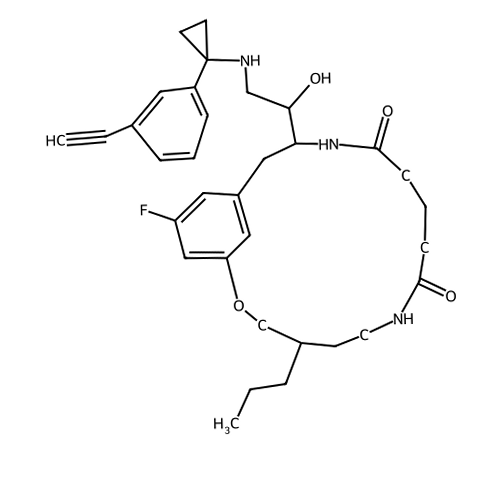 C#Cc1cccc(C2(NCC(O)C3Cc4cc(F)cc(c4)OCC(CCC)CCNC(=O)CCCC(=O)N3)CC2)c1